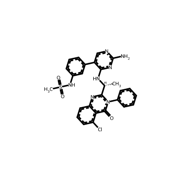 C[C@@H](Nc1nc(N)ncc1-c1cccc(NS(C)(=O)=O)c1)c1nc2cccc(Cl)c2c(=O)n1-c1ccccc1